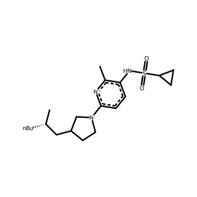 CCCC[C@H](C)CC1CCN(c2ccc(NS(=O)(=O)C3CC3)c(C)n2)C1